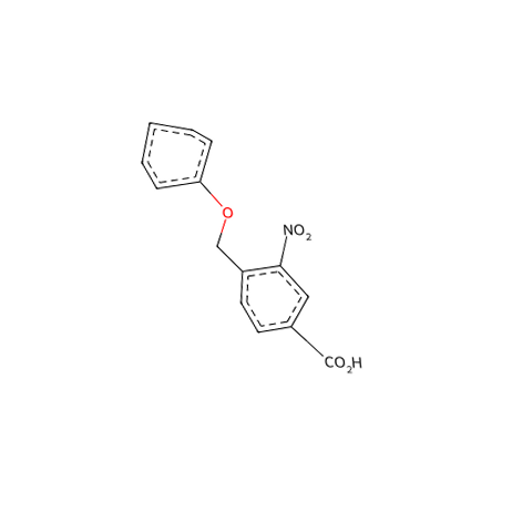 O=C(O)c1ccc(COc2ccccc2)c([N+](=O)[O-])c1